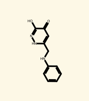 O=c1cc(CNc2ccccc2)[nH]nc1O